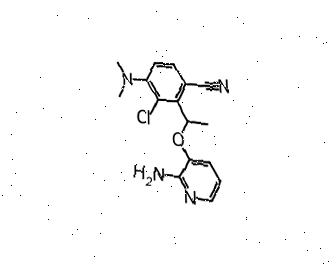 CC(Oc1cccnc1N)c1c(C#N)ccc(N(C)C)c1Cl